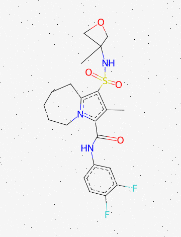 Cc1c(S(=O)(=O)NC2(C)COC2)c2n(c1C(=O)Nc1ccc(F)c(F)c1)CCCCC2